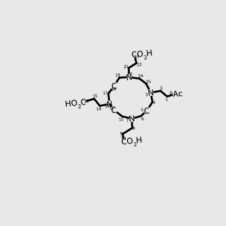 CC(=O)CCN1CCCN(CCC(=O)O)CCN(CCC(=O)O)CCCN(CCC(=O)O)CC1